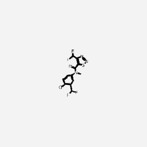 CN(C(=O)c1snnc1C(F)F)c1ccc(Cl)c(C(F)F)c1